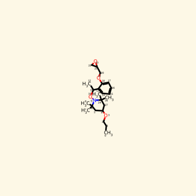 CCCOC1CC(C)(C)N(OC(C)c2ccccc2OCC2CO2)C(C)(C)C1